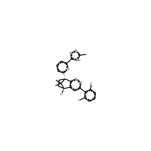 Cc1nnc(-c2cccc([C@]34CC[C@@H](c5cc(-c6c(F)cccc6F)nnc53)C4(C)C)n2)[nH]1